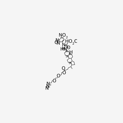 CC(CCC(=O)OCCOCCOCCN=[N+]=[N-])C1CCC2C3CC[C@@H]4C[C@H](NC(=O)[C@H](CC(=O)O)Nc5ccc([N+](=O)[O-])c6nonc56)CC[C@]4(C)C3CC[C@]12C